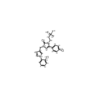 O=c1n(Cc2cn(-c3ccccc3Cl)nn2)nc(-c2ccc(Cl)cc2)n1CCC(F)(F)F